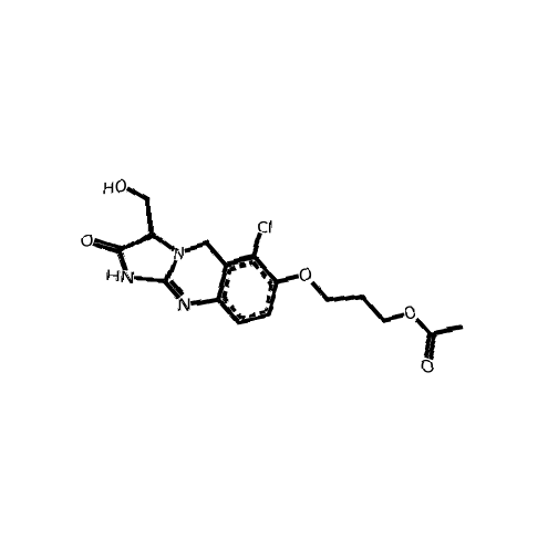 CC(=O)OCCCOc1ccc2c(c1Cl)CN1C(=N2)NC(=O)C1CO